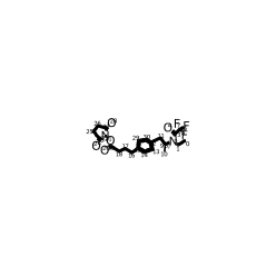 CCN(C(=O)C(F)(F)F)[C@@H](C)Cc1ccc(CCCC(=O)ON2C(=O)CCC2=O)cc1